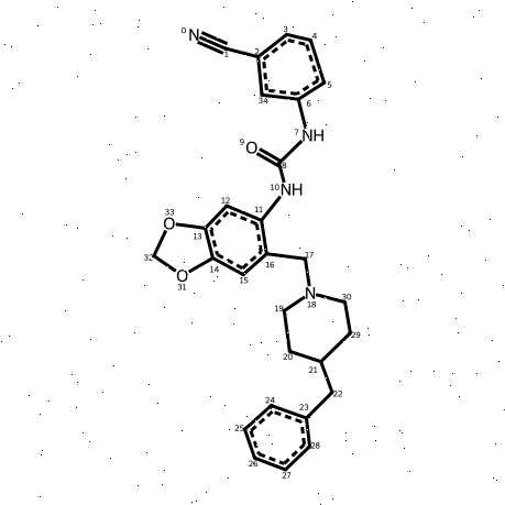 N#Cc1cccc(NC(=O)Nc2cc3c(cc2CN2CCC(Cc4ccccc4)CC2)OCO3)c1